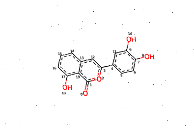 O=c1oc(-c2ccc(O)c(O)c2)cc2cccc(O)c12